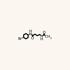 CC(=O)NCCCC(=O)N[C@H]1CC[C@@H](Br)CC1